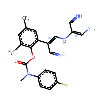 CN(C(=O)Oc1c(/C(C=N)=C/N/C(C=N)=C/N)cc(C(F)(F)F)cc1C(F)(F)F)c1ccc(F)cc1